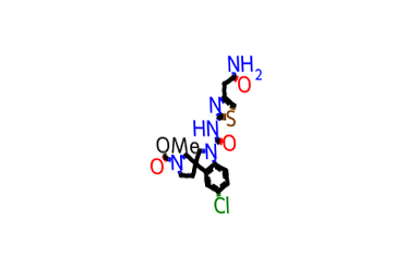 COC(=O)N1CCC2(C1)CN(C(=O)Nc1nc(CC(N)=O)cs1)c1ccc(Cl)cc12